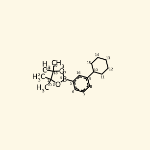 CC1(C)OB(c2cccc(C3CCCCC3)c2)OC1(C)C